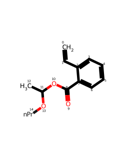 C=Cc1ccccc1C(=O)OC(C)OCCC